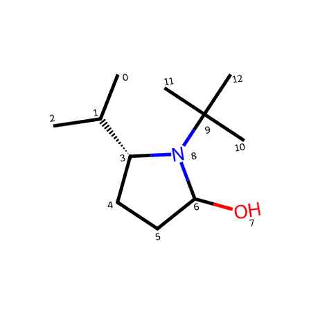 CC(C)[C@H]1CCC(O)N1C(C)(C)C